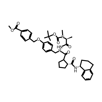 COC(=O)c1ccc(COc2ccc(CN(NC(=O)[C@H](C)N(C)C(=O)OC(C)(C)C)C(=O)C3CCC[C@H]3C(=O)N[C@@H]3CCCc4ccccc43)cc2)cc1